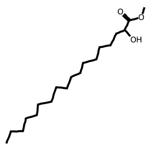 CCCCCCCCCCCCCCCCC(O)C(=O)OC